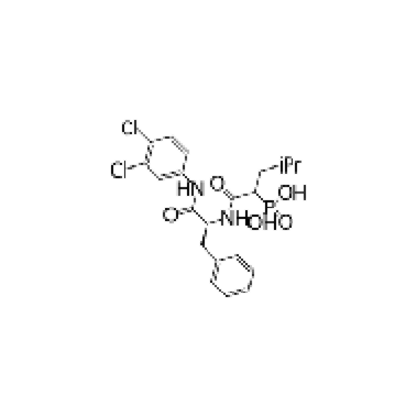 CC(C)CC(C(=O)N[C@@H](Cc1ccccc1)C(=O)Nc1ccc(Cl)c(Cl)c1)P(=O)(O)O